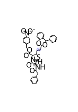 O=C(Cc1ccccc1)N[C@@H]1C(=O)N2C(C(=O)OCc3ccc([N+](=O)[O-])cc3)C(/C=C/C(=O)OC(c3ccccc3)c3ccccc3)S[C@H]12